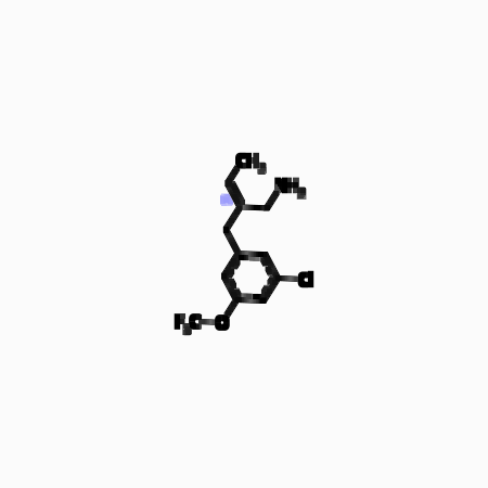 C/C=C(\CN)Cc1cc(Cl)cc(OC(F)(F)F)c1